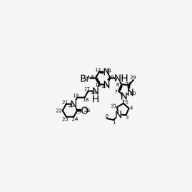 CCN1CC[C@H](n2cc(Nc3ncc(Br)c(NCCCN4CCCCC4=O)n3)c(C)n2)C1